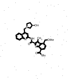 COCc1ccc(C(=O)C(C)(C)C)c2sc(C(=O)Nc3cc(CN4CC[C@@H](O)C4)c4ccccc4n3)c(C)c12